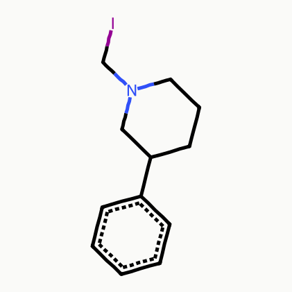 ICN1CCCC(c2ccccc2)C1